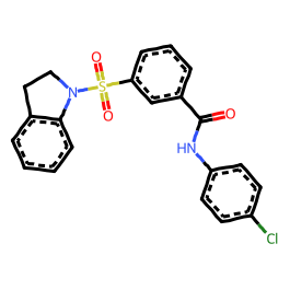 O=C(Nc1ccc(Cl)cc1)c1cccc(S(=O)(=O)N2CCc3ccccc32)c1